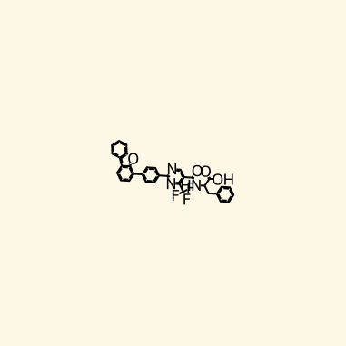 O=C(NC(Cc1ccccc1)C(=O)O)c1cnc(-c2ccc(-c3cccc4c3oc3ccccc34)cc2)nc1C(F)(F)F